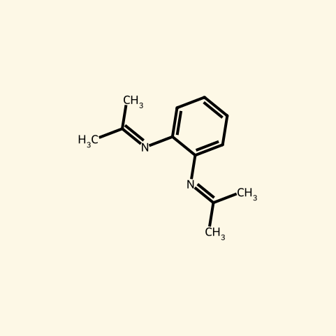 CC(C)=Nc1ccccc1N=C(C)C